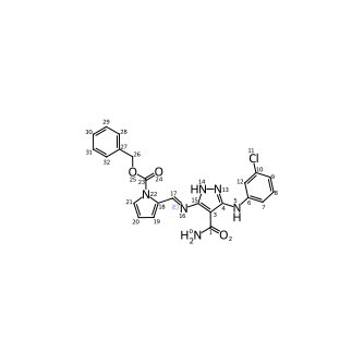 NC(=O)c1c(Nc2cccc(Cl)c2)n[nH]c1/N=C/c1cccn1C(=O)OCc1ccccc1